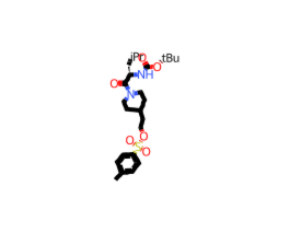 Cc1ccc(S(=O)(=O)OCCC2CCN(C(=O)[C@H](CC(C)C)NC(=O)OC(C)(C)C)CC2)cc1